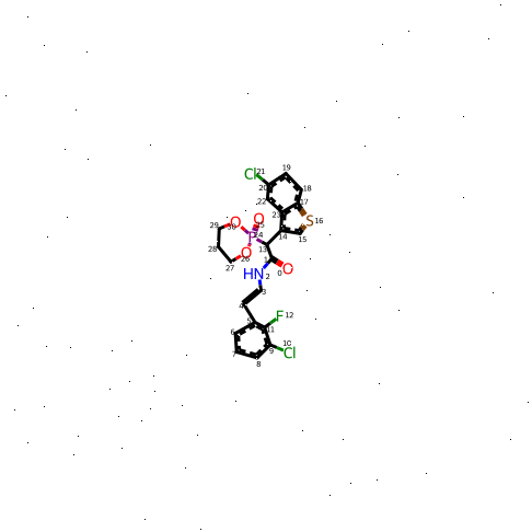 O=C(N/C=C/c1cccc(Cl)c1F)C(c1csc2ccc(Cl)cc12)P1(=O)OCCCO1